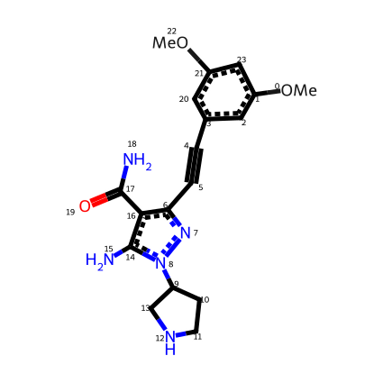 COc1cc(C#Cc2nn(C3CCNC3)c(N)c2C(N)=O)cc(OC)c1